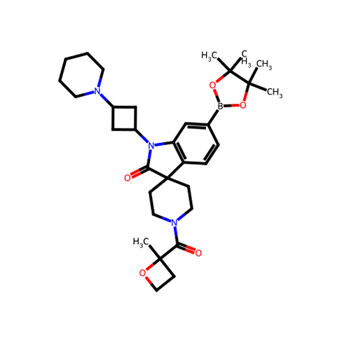 CC1(C(=O)N2CCC3(CC2)C(=O)N(C2CC(N4CCCCC4)C2)c2cc(B4OC(C)(C)C(C)(C)O4)ccc23)CCO1